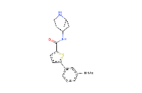 CC(=O)Nc1cccc(-c2ccc(C(=O)NC3CC4CC3CN4)s2)c1